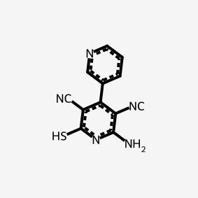 [C-]#[N+]c1c(N)nc(S)c(C#N)c1-c1cccnc1